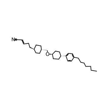 CCCCCCCc1ccc([C@H]2CC[C@H](OC[C@H]3CC[C@H](CC/C=C/C#N)CC3)CC2)cc1